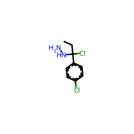 CCC(Cl)(NN)c1ccc(Cl)cc1